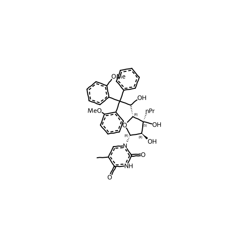 CCC[C@@]1(O)[C@@H](C(O)C(c2ccccc2)(c2ccccc2OC)c2ccccc2OC)O[C@@H](n2cc(C)c(=O)[nH]c2=O)[C@@H]1O